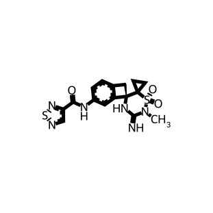 CN1C(=N)N[C@@]2(Cc3ccc(NC(=O)c4cnsn4)cc32)C2(CC2)S1(=O)=O